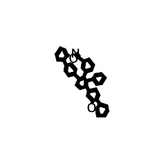 N#Cc1cccc(-c2c(-c3ccc4c(c3)oc3ccccc34)ccc(-c3ccc4c(c3)oc3ccccc34)c2-c2ccccc2)c1